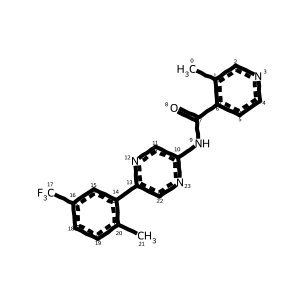 Cc1cnccc1C(=O)Nc1cnc(-c2cc(C(F)(F)F)ccc2C)cn1